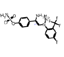 N/C(=C\N(N)c1ccc(F)cc1C(F)(F)F)c1ccc(OS(N)(=O)=O)cc1